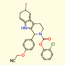 N#CCOc1ccc(C2c3[nH]c4c(c3CCN2C(=O)Oc2ccccc2Cl)=CC(I)CC=4)cc1